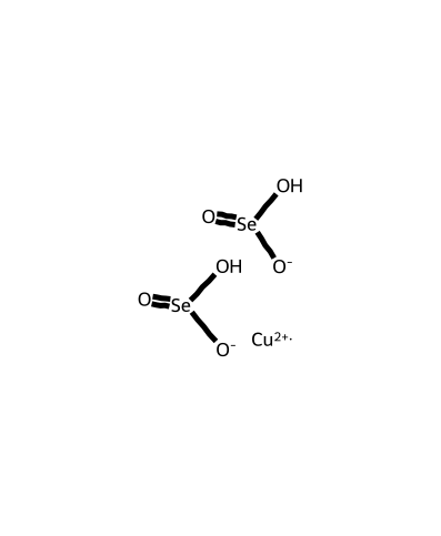 O=[Se]([O-])O.O=[Se]([O-])O.[Cu+2]